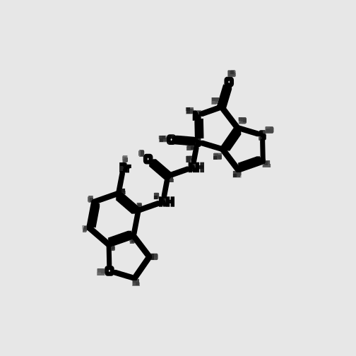 O=C(Nc1c(Br)ccc2c1CCO2)NS1(=O)=NC(=O)c2sccc21